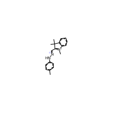 Cc1ccc(N/N=C/C2=[N+](C)c3ccccc3C2(C)C)cc1